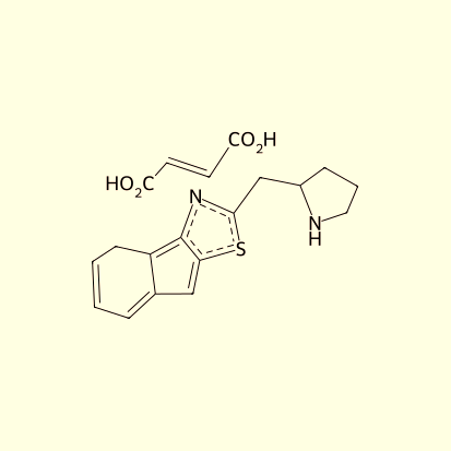 C1=CCC2=c3nc(CC4CCCN4)sc3=CC2=C1.O=C(O)C=CC(=O)O